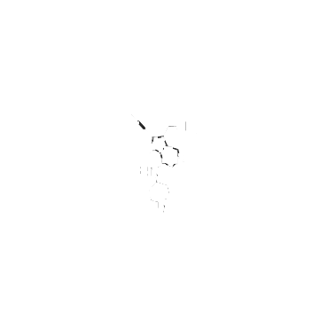 CC#Cc1sc2c(NC3CCN(C)CC3)cncc2c1CC(F)(F)F